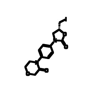 O=C1COCCN1c1ccc(N2C[C@H](CI)OC2=O)cc1